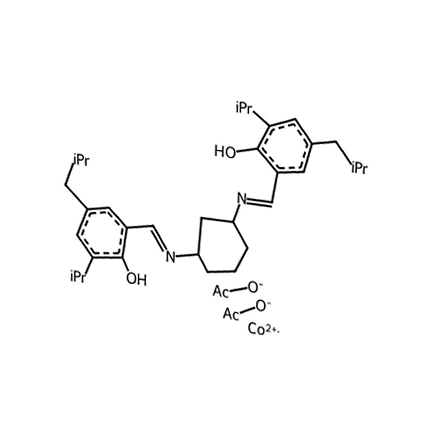 CC(=O)[O-].CC(=O)[O-].CC(C)Cc1cc(C=NC2CCCC(N=Cc3cc(CC(C)C)cc(C(C)C)c3O)C2)c(O)c(C(C)C)c1.[Co+2]